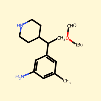 CC(C)(C)OC=O.CC(c1cc(N)cc(C(F)(F)F)c1)C1CCNCC1